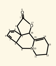 O=C1CC23C=CC=CC2CN2CCCC=C2C3O1